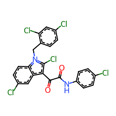 O=C(Nc1ccc(Cl)cc1)C(=O)c1c(Cl)n(Cc2ccc(Cl)cc2Cl)c2ccc(Cl)cc12